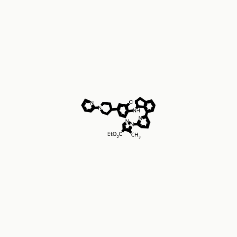 CCOC(=O)c1cnn(-c2cccc(-c3cccc4c3C(Nc3ccc(C5CCN(c6ccccn6)CC5)cc3C)CC4)n2)c1C